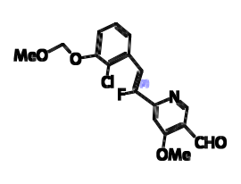 COCOc1cccc(/C=C(\F)c2cc(OC)c(C=O)cn2)c1Cl